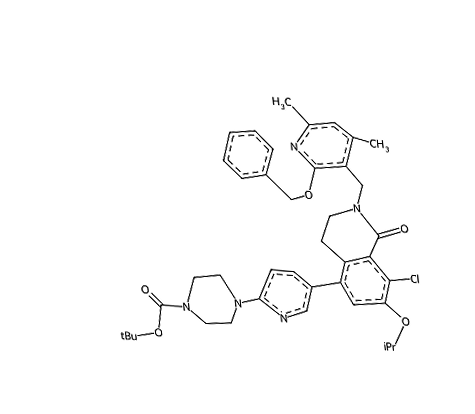 Cc1cc(C)c(CN2CCc3c(-c4ccc(N5CCN(C(=O)OC(C)(C)C)CC5)nc4)cc(OC(C)C)c(Cl)c3C2=O)c(OCc2ccccc2)n1